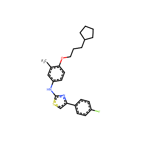 Fc1ccc(-c2csc(Nc3ccc(OCCCC4CCCC4)c(C(F)(F)F)c3)n2)cc1